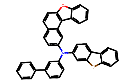 c1ccc(-c2cccc(N(c3ccc4c(c3)sc3ccccc34)c3ccc4ccc5oc6ccccc6c5c4c3)c2)cc1